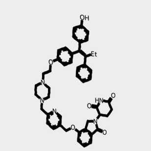 CCC(=C(c1ccc(O)cc1)c1ccc(OCCN2CCN(Cc3ccc(COc4cccc5c4CN(C4CCC(=O)NC4=O)C5=O)cn3)CC2)cc1)c1ccccc1